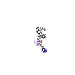 COc1ccc(/C(=C/C=C/C(=O)N[C@H](C)CCCc2cccnc2)c2ccccc2)cc1